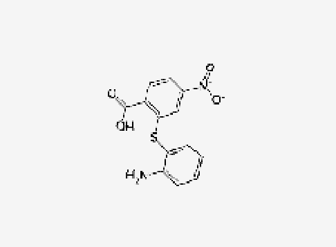 Nc1ccccc1Sc1cc([N+](=O)[O-])ccc1C(=O)O